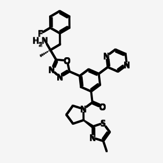 Cc1csc([C@H]2CCCN2C(=O)c2cc(-c3cnccn3)cc(-c3nnc([C@@](C)(N)Cc4ccccc4F)o3)c2)n1